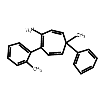 Cc1ccccc1C1=C(N)C=CC(C)(c2ccccc2)C=C1